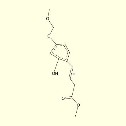 COCOc1ccc(/C=C/CC(=O)OC)c(O)c1